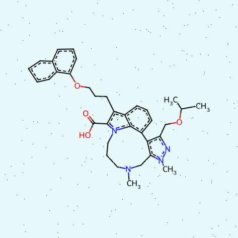 CC(C)OCc1nn(C)c2c1-c1cccc3c(CCCOc4cccc5ccccc45)c(C(=O)O)n(c13)CCCN(C)C2